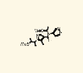 COC(C)N(C(=O)c1cnn(C(C)C(C)SC)c1C)c1ccnnc1